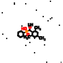 Cc1cc(C)c(C(=O)P(=O)(O)c2ccccc2)c(C)c1.[LiH]